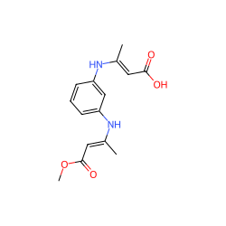 COC(=O)C=C(C)Nc1cccc(NC(C)=CC(=O)O)c1